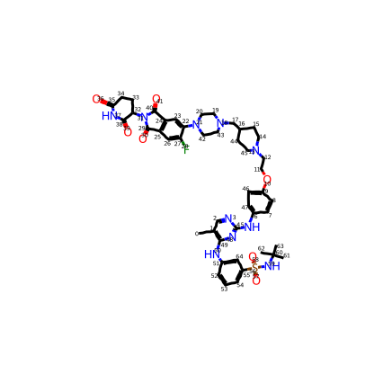 Cc1cnc(Nc2ccc(OCCN3CCC(CN4CCN(c5cc6c(cc5F)C(=O)N(C5CCC(=O)NC5=O)C6=O)CC4)CC3)cc2)nc1Nc1cccc(S(=O)(=O)NC(C)(C)C)c1